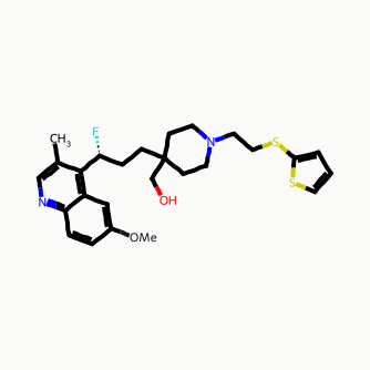 COc1ccc2ncc(C)c([C@H](F)CCC3(CO)CCN(CCSc4cccs4)CC3)c2c1